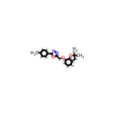 Cc1ccc(-c2nnc(COc3cccc4c3OC(C)(C)C4)o2)cc1